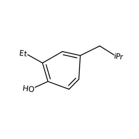 CCc1cc(CC(C)C)ccc1O